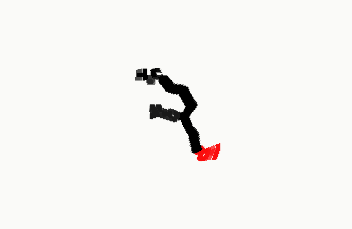 C=C/C=C\C(=C\CO)OC